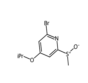 CC(C)Oc1cc(Br)nc([S+](C)[O-])c1